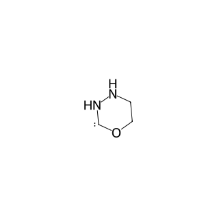 [C]1NNCCO1